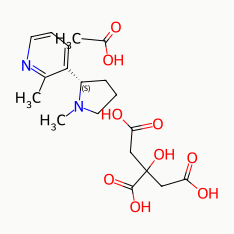 CC(=O)O.Cc1ncccc1[C@@H]1CCCN1C.O=C(O)CC(O)(CC(=O)O)C(=O)O